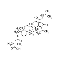 CC(C)NC[C@H](O)[C@@]12CC[C@]3(C)[C@H](CCC4[C@@]5(C)CC[C@H](OC(=O)CC(C)(C)C(=O)O)C(C)(C)[C@@H]5CC[C@]43C)C1=C(C(C)C)C(=O)C2